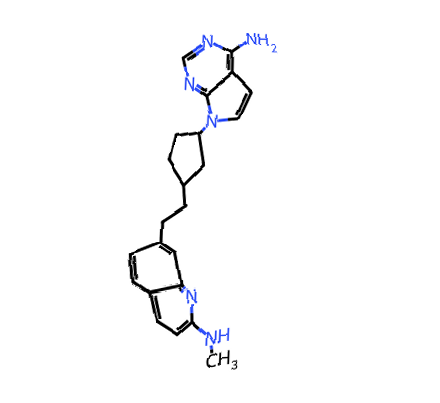 CNc1ccc2ccc(CCC3CCC(n4ccc5c(N)ncnc54)C3)cc2n1